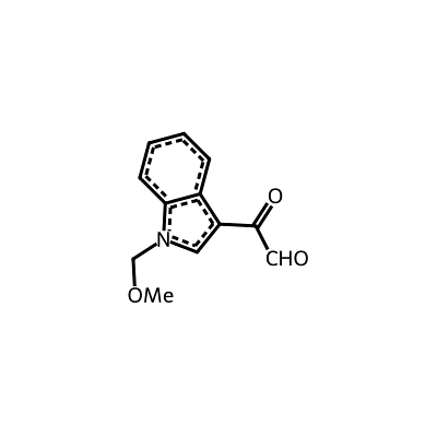 COCn1cc(C(=O)C=O)c2ccccc21